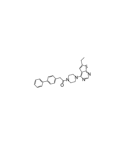 CCc1cc2c(N3CCN(C(=O)Cc4ccc(-c5ccccc5)cc4)CC3)ncnc2s1